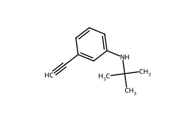 C#Cc1cccc(NC(C)(C)C)c1